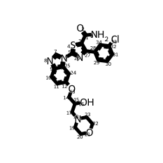 NC(=O)c1sc(-n2cnc3ccc(OCC(O)CN4CCOCC4)cc32)nc1-c1cccc(Cl)c1